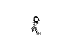 N=PPOC(=O)OC[C@H]1[C@@H]2CCC#CCC[C@@H]21